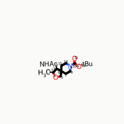 CC(=O)N[C@@H]1[C@H](C)OCC12CCN(C(=O)OC(C)(C)C)CC2